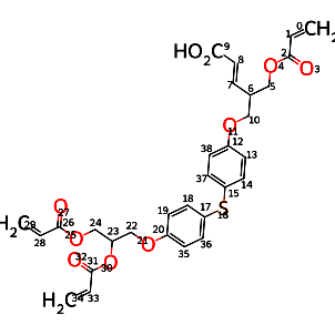 C=CC(=O)OCC(C=CC(=O)O)COc1ccc(Sc2ccc(OCC(COC(=O)C=C)OC(=O)C=C)cc2)cc1